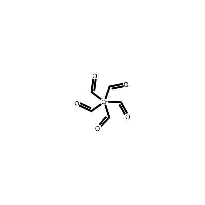 O=[CH][Cr]([CH]=O)([CH]=O)([CH]=O)[CH]=O